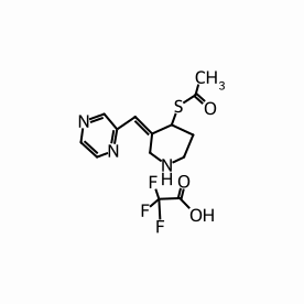 CC(=O)SC1CCNC/C1=C\c1cnccn1.O=C(O)C(F)(F)F